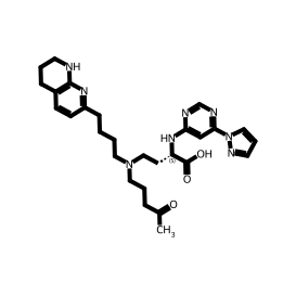 CC(=O)CCCN(CCCCc1ccc2c(n1)NCCC2)CC[C@H](Nc1cc(-n2cccn2)ncn1)C(=O)O